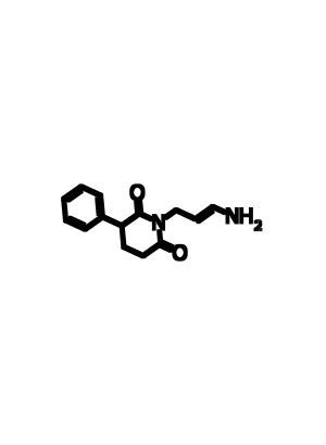 NC=CCN1C(=O)CCC(c2ccccc2)C1=O